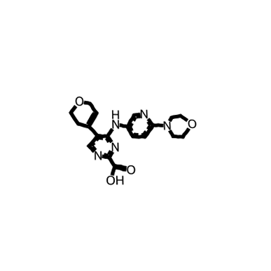 O=C(O)c1ncc(C2=CCOCC2)c(Nc2ccc(N3CCOCC3)nc2)n1